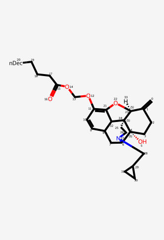 C=C1CC[C@@]2(O)C3CC4C=CC(OCOC(=O)CCCCCCCCCCCCC)=C5O[C@@H]1[C@]2(CCN3CC1CC1)C54